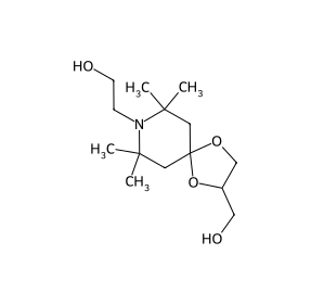 CC1(C)CC2(CC(C)(C)N1CCO)OCC(CO)O2